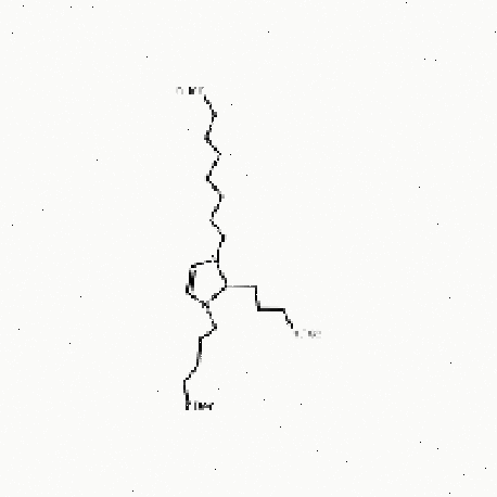 CCCCCCCCCCCCCCCCCN1C=CN(CCCCCCCCCCCCCC)C1CCCCCCCCCCCCC